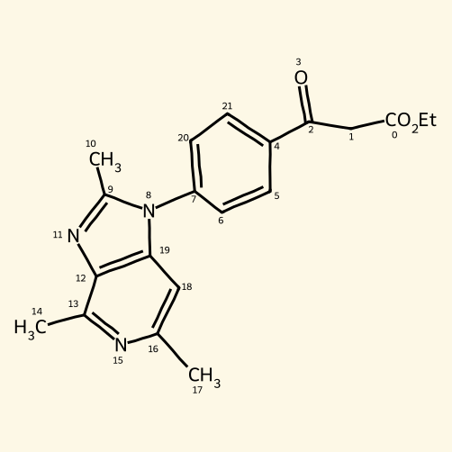 CCOC(=O)CC(=O)c1ccc(-n2c(C)nc3c(C)nc(C)cc32)cc1